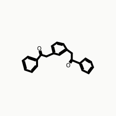 O=C(Cc1cccc(CC(=O)c2ccccc2)c1)c1ccccc1